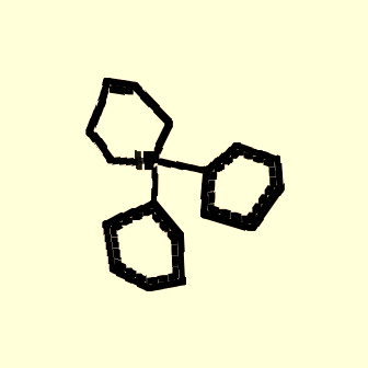 C1=CC[PH](c2ccccc2)(c2ccccc2)CC1